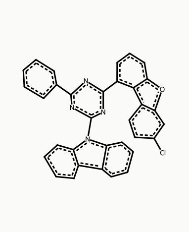 Clc1ccc2c(c1)oc1cccc(-c3nc(-c4ccccc4)nc(-n4c5ccccc5c5ccccc54)n3)c12